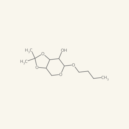 CCCCOC1OCC2OC(C)(C)OC2C1O